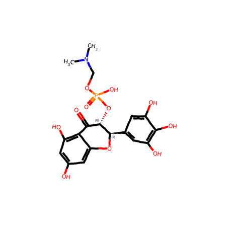 CN(C)COP(=O)(O)O[C@H]1C(=O)c2c(O)cc(O)cc2O[C@@H]1c1cc(O)c(O)c(O)c1